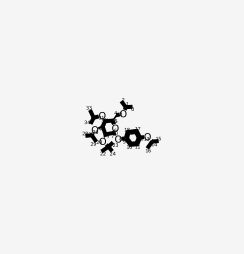 CC(C)OC[C@H]1O[C@@H](Oc2ccc(OC(C)C)cc2)[C@H](OC(C)(C)C)[C@@H](OC(C)C)[C@@H]1OC(C)C